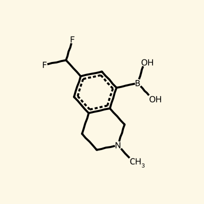 CN1CCc2cc(C(F)F)cc(B(O)O)c2C1